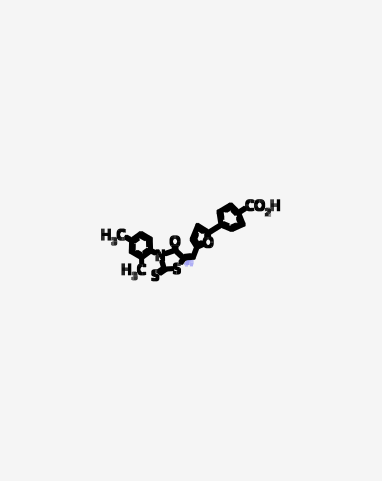 Cc1ccc(N2C(=O)/C(=C\c3ccc(-c4ccc(C(=O)O)cc4)o3)SC2=S)c(C)c1